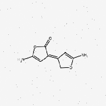 NC1=C/C(=C2/C=C(N)OC2=O)CO1